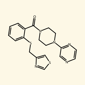 O=C(c1ccccc1SCc1cscn1)N1CCN(c2cnccn2)CC1